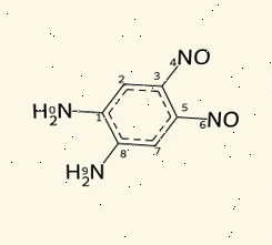 Nc1cc(N=O)c(N=O)cc1N